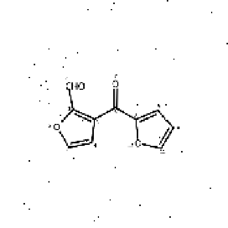 O=Cc1occc1C(=O)c1ccco1